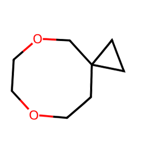 C1COCC2(CCO1)CC2